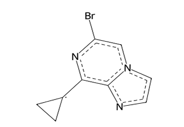 Brc1cn2ccnc2c([C]2CC2)n1